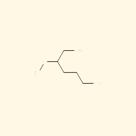 CCOC(CO)CCCO